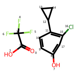 O=C(O)C(F)(F)F.Oc1ccc(C2CC2)c(Cl)c1